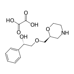 O=C(O)C(=O)O.O[C@H](COC[C@@H]1CNCCO1)c1ccccc1